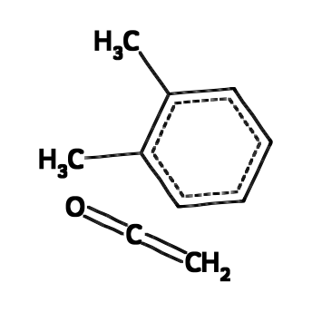 C=C=O.Cc1ccccc1C